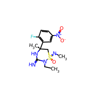 CCN1C(=N)N[C@](C)(c2cc([N+](=O)[O-])ccc2F)CS1(=O)=NC